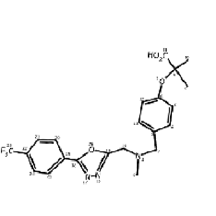 CN(Cc1ccc(OC(C)(C)C(=O)O)cc1)Cc1nnc(-c2ccc(C(F)(F)F)cc2)o1